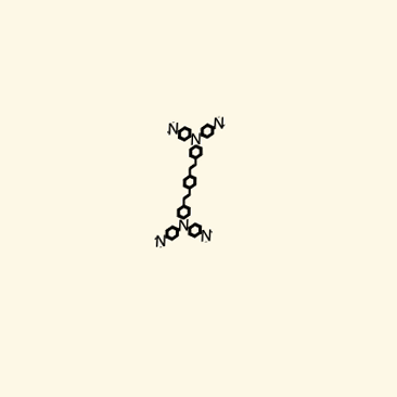 CN(C)c1ccc(N(c2ccc(C=Cc3ccc(C=Cc4ccc(N(c5ccc(N(C)C)cc5)c5ccc(N(C)C)cc5)cc4)cc3)cc2)c2ccc(N(C)C)cc2)cc1